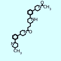 CC(=O)N1CCC(c2cccc(C3CCC(CCC(=O)N4CCC(c5cccc(C6=NCC(C)CC6)c5)CC4)CN3)c2)CC1